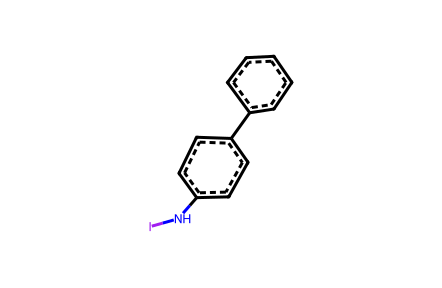 INc1ccc(-c2ccccc2)cc1